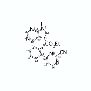 CCOC(=O)c1c[nH]c2ncnc(-c3cccc(-c4ccnc(C#N)n4)c3)c12